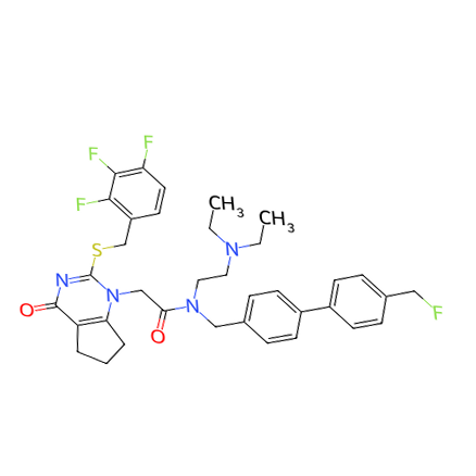 CCN(CC)CCN(Cc1ccc(-c2ccc(CF)cc2)cc1)C(=O)Cn1c(SCc2ccc(F)c(F)c2F)nc(=O)c2c1CCC2